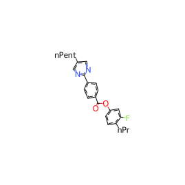 CCCCCc1cnc(-c2ccc(C(=O)Oc3ccc(CCC)c(F)c3)cc2)nc1